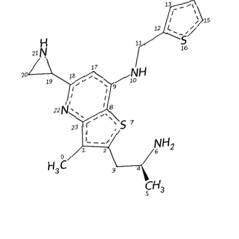 Cc1c(C[C@H](C)N)sc2c(NCc3cccs3)cc(C3CN3)nc12